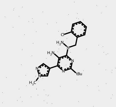 Cn1cc(-c2nc(C(C)(C)C)nc(N(N)Cc3ccccc3Cl)c2N)cn1